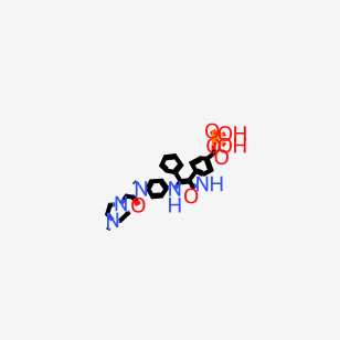 CN1CCN(CC(=O)N(C)c2ccc(N/C(=C3\C(=O)Nc4cc(C(=O)OP(=O)(O)O)ccc43)c3ccccc3)cc2)CC1